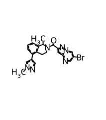 CC1c2cccc(-c3cnn(C)c3)c2CCN1C(=O)c1cc2ncc(Br)cn2n1